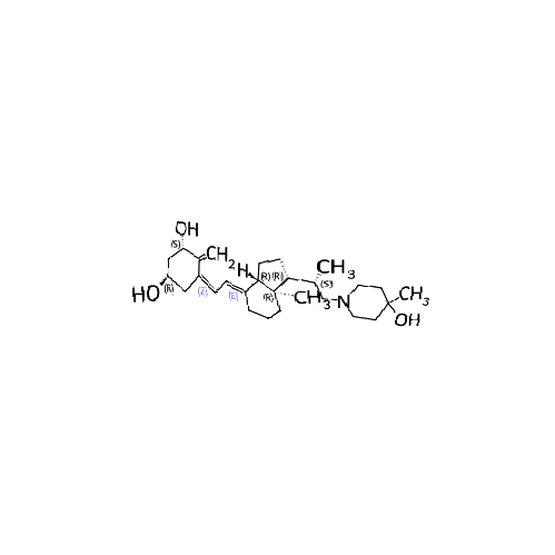 C=C1/C(=C\C=C2/CCC[C@]3(C)[C@@H]([C@H](C)CN4CCC(C)(O)CC4)CC[C@@H]23)C[C@@H](O)C[C@@H]1O